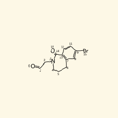 O=CCN1CCCc2cc(Br)ccc2C1=O